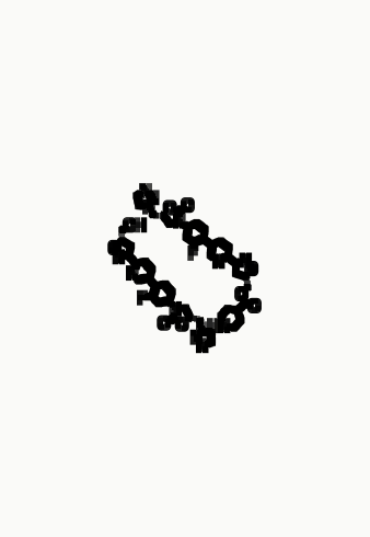 O=C(OC[C@@H]1CC(c2ccc(-c3ccc(N4C[C@H](Cn5ccnn5)OC4=O)cc3F)cn2)=NO1)C1CCNCC1.O=C1O[C@@H](Cn2ccnn2)CN1c1ccc(-c2ccc(C3=NO[C@H](CO)C3)nc2)c(F)c1